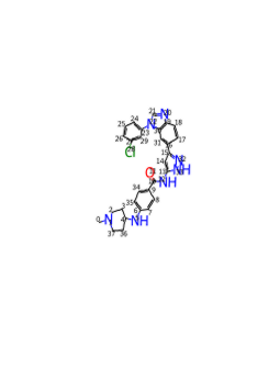 CN1CCC(Nc2ccc(C(=O)Nc3cc(-c4ccc5ncn(-c6cccc(Cl)c6)c5c4)n[nH]3)cc2)CC1